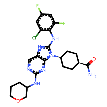 NC(=O)[C@H]1CC[C@@H](n2c(Nc3c(F)cc(F)cc3Cl)nc3cnc(NC4CCCOC4)nc32)CC1